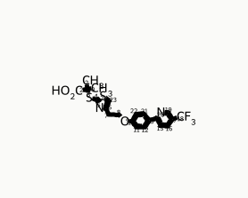 CC(C)(Sc1nc(CCOc2ccc(-c3ccc(C(F)(F)F)cn3)cc2)cs1)C(=O)O